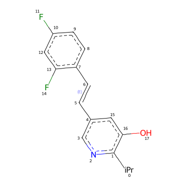 CC(C)c1ncc(/C=C/c2ccc(F)cc2F)cc1O